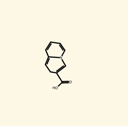 O=C(O)C1=CN2C=CC=CC2=CC1